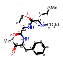 CCOC(=O)N[C@@H](CCSC)C(=O)N[C@@H](CC(C)C)C(=O)N[C@@H](Cc1ccccc1)C(=O)OC